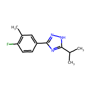 Cc1cc(-c2n[nH]c(C(C)C)n2)ccc1F